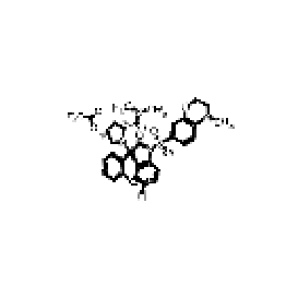 COc1ccccc1C1(N2C[C@H](OC(=O)C(F)(F)F)C[C@H]2C(=O)N(C)C)C(=O)N(S(=O)(=O)c2ccc3c(c2)OCCN3C)c2ccc(Cl)cc21